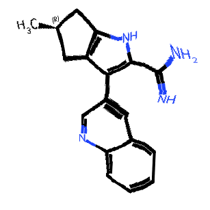 C[C@H]1Cc2[nH]c(C(=N)N)c(-c3cnc4ccccc4c3)c2C1